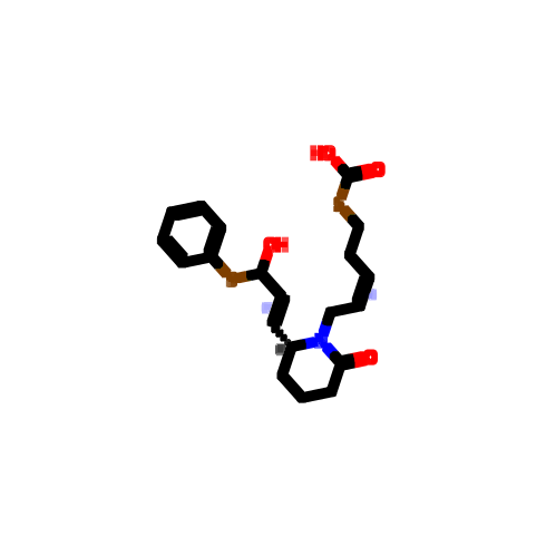 O=C(O)SCC/C=C\CN1C(=O)CCC[C@@H]1/C=C/C(O)Sc1ccccc1